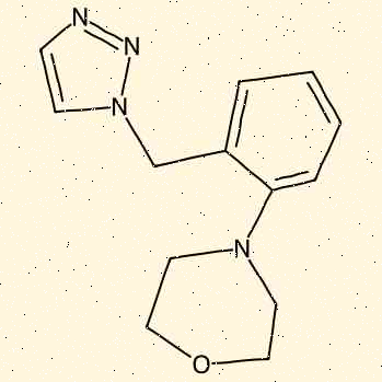 c1ccc(N2CCOCC2)c(Cn2ccnn2)c1